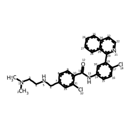 CN(C)CCNCc1ccc(C(=O)Nc2ccc(Cl)c(-c3nccc4ccccc34)c2)c(Cl)c1